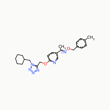 C/C(=N\OCc1ccc(C)cc1)c1ccc(OCc2nnnn2CC2CCCCC2)nc1